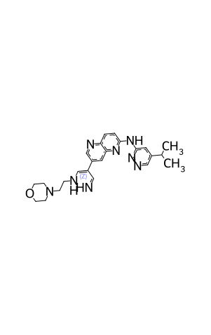 CC(C)c1cnnc(Nc2ccc3ncc(/C(C=N)=C/NCCN4CCOCC4)cc3n2)c1